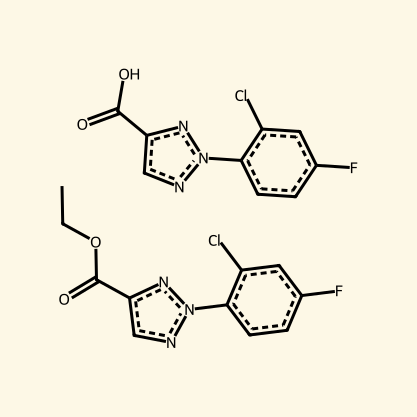 CCOC(=O)c1cnn(-c2ccc(F)cc2Cl)n1.O=C(O)c1cnn(-c2ccc(F)cc2Cl)n1